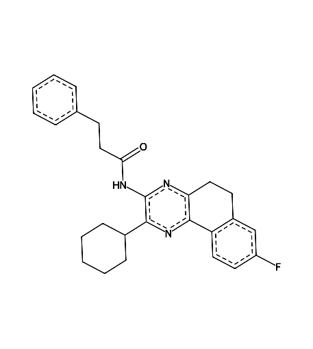 O=C(CCc1ccccc1)Nc1nc2c(nc1C1CCCCC1)-c1ccc(F)cc1CC2